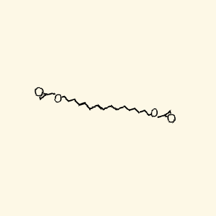 C(CCCCCCCCOCC1CO1)CCCCCCCOCC1CO1